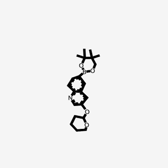 CC1(C)COB(c2ccc3ncc(OC4CCCCO4)cc3c2)OC1(C)C